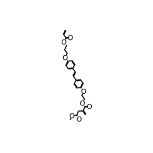 C=CC(=O)OCCCOc1ccc(/C=C/c2ccc(OCCOC(=O)C(=C)CC(=O)OC)cc2)cc1